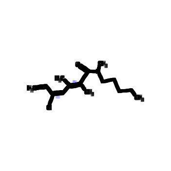 C=C/C(Cl)=C\C(C)=C(/C)C(=O)N(C)CCCCC